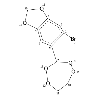 Brc1cc2c(cc1C1OOCCOO1)OCO2